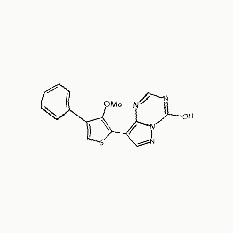 COc1c(-c2ccccc2)csc1-c1cnn2c(O)ncnc12